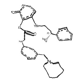 O=C(Nc1cccc(CN2CCCCC2)c1)Oc1c(NC[C@@H](O)c2ccccc2)cc[nH]c1=O